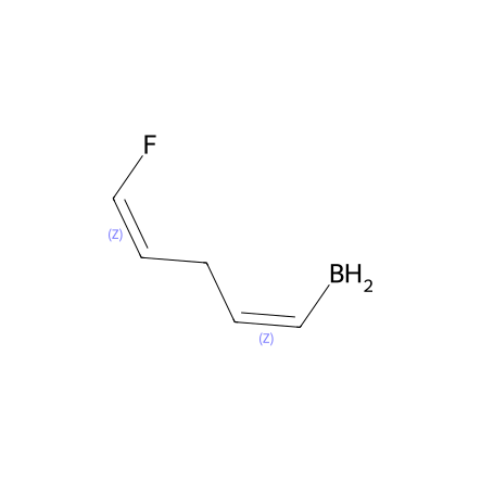 B/C=C\C/C=C\F